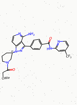 COCC(=O)N1CCC[C@@H](n2nc(-c3ccc(C(=O)Nc4cc(C(F)(F)F)ccn4)cc3)c3c(N)nccc32)C1